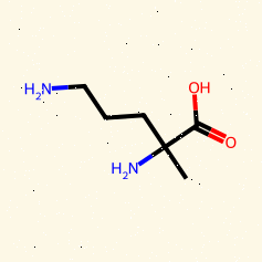 CC(N)(CCCN)C(=O)O